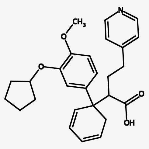 COc1ccc(C2(C(CCc3ccncc3)C(=O)O)C=CC=CC2)cc1OC1CCCC1